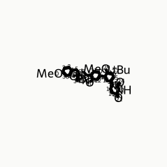 COc1ccc(CN(Cc2noc3cc(-c4cc(-n5ccc(=O)[nH]c5=O)cc(C(C)(C)C)c4OC)ccc23)S(C)(=O)=O)cc1